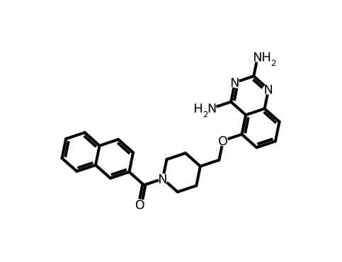 Nc1nc(N)c2c(OCC3CCN(C(=O)c4ccc5ccccc5c4)CC3)cccc2n1